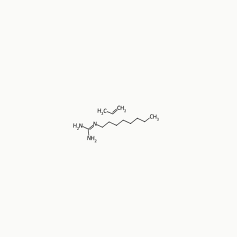 C=CC.CCCCCCCCN=C(N)N